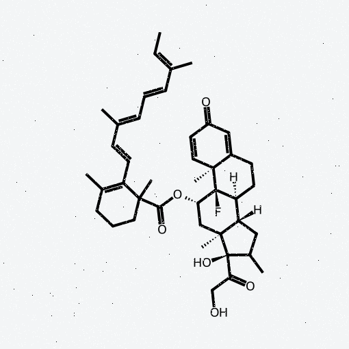 CC=C(C)C=CC=C(C)C=CC1=C(C)CCCC1(C)C(=O)O[C@H]1C[C@@]2(C)[C@@H](CC(C)[C@]2(O)C(=O)CO)[C@@H]2CCC3=CC(=O)C=C[C@]3(C)[C@@]12F